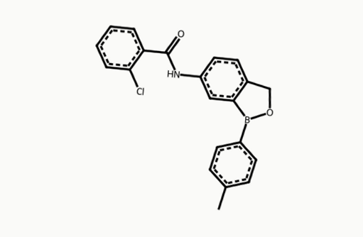 Cc1ccc(B2OCc3ccc(NC(=O)c4ccccc4Cl)cc32)cc1